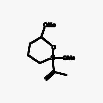 C=C(C)[Si]1(OC)CCCC(OC)O1